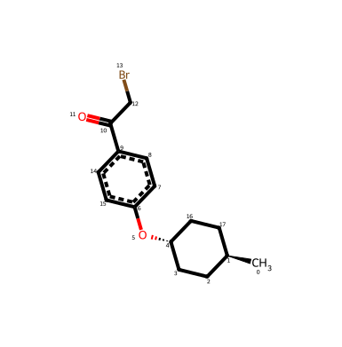 C[C@H]1CC[C@H](Oc2ccc(C(=O)CBr)cc2)CC1